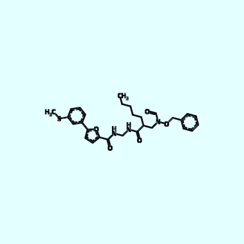 CCCCCC(CN(C=O)OCc1ccccc1)C(=O)NCNC(=O)c1ccc(-c2cccc(SC)c2)o1